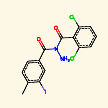 Cc1ccc(C(=O)N(N)C(=O)c2c(Cl)cccc2Cl)cc1I